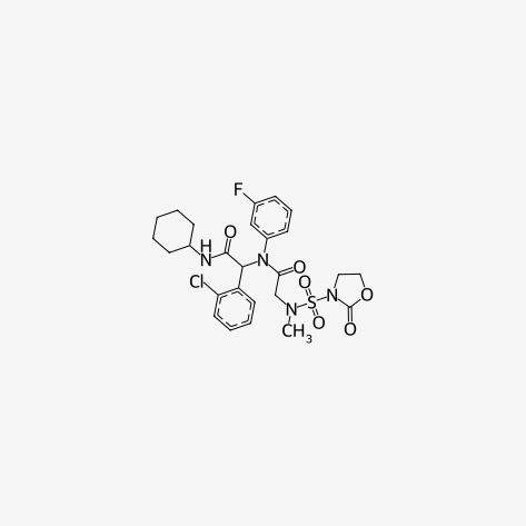 CN(CC(=O)N(c1cccc(F)c1)C(C(=O)NC1CCCCC1)c1ccccc1Cl)S(=O)(=O)N1CCOC1=O